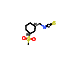 CS(=O)(=O)[C@H]1CCC[C@H](CN=C=S)C1